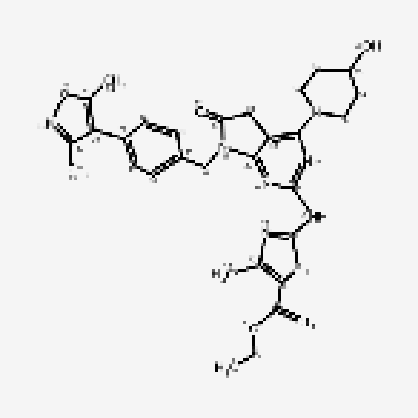 CCOC(=O)c1sc(Nc2nc(N3CCC(O)CC3)c3c(n2)N(Cc2ccc(-c4c(C)noc4C)cc2)C(=O)C3)nc1C